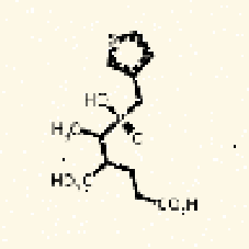 CC(C(CCC(=O)O)C(=O)O)P(=O)(O)Cc1ccsc1